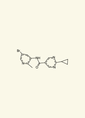 Cc1ncc(Br)cc1NC(=O)c1cnc(C2CC2)nc1